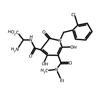 CCN(C)C(=O)c1c(O)c(C(=O)NC(N)C(=O)O)c(=O)n(Cc2ccccc2Cl)c1O